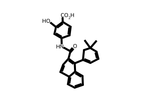 CC1(C)C=CC=C(c2c(C(=O)Nc3ccc(C(=O)O)c(O)c3)ccc3ccccc23)C1